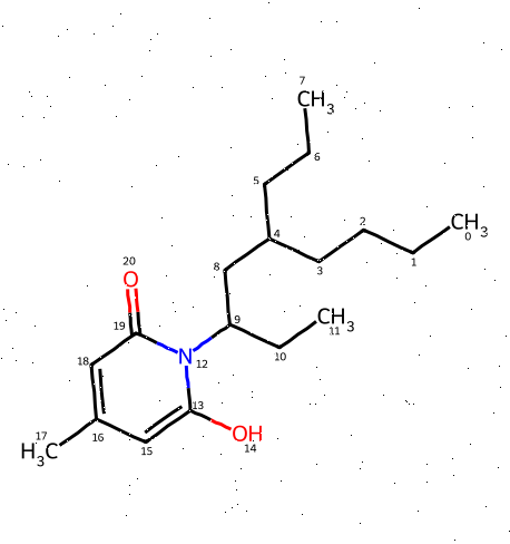 CCCCC(CCC)CC(CC)n1c(O)cc(C)cc1=O